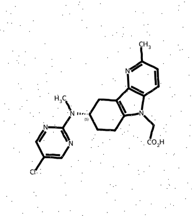 Cc1ccc2c(n1)c1c(n2CC(=O)O)CC[C@H](N(C)c2ncc(Cl)cn2)C1